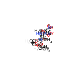 CCC(C)(C)C(=O)OCCN(CCOC(=O)C(C)(C)CC)c1cc(NC(C)=O)c(/N=N/c2c(Br)cc([N+](=O)[O-])cc2[N+](=O)[O-])cc1OC